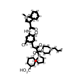 Cn1cc(C(=O)Nc2cc(Cl)c(CC(=O)C(O[C@H]3CC[C@H](C(=O)O)CC3)(N3CCCC3)N3CCN(CCF)CC3)cc2Cl)c2ccccc21